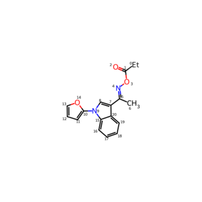 CCC(=O)O/N=C(\C)c1cn(-c2ccco2)c2ccccc12